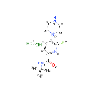 Cl.Cl.[2H]C([2H])([2H])NC(=O)c1ccc(N2CCNCC2)c(F)n1